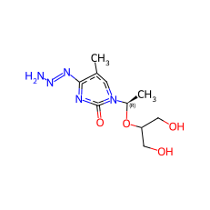 Cc1cn([C@@H](C)OC(CO)CO)c(=O)nc1N=NN